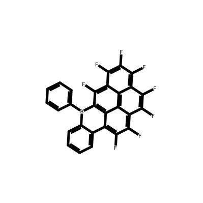 Fc1c(F)c2c(F)c(F)c3c(F)c(F)c4c5c(c(F)c(c1F)c2c35)B(c1ccccc1)c1ccccc1-4